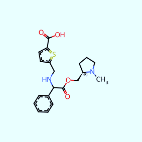 CN1CCC[C@@H]1COC(=O)C(NCc1ccc(C(=O)O)s1)c1ccccc1